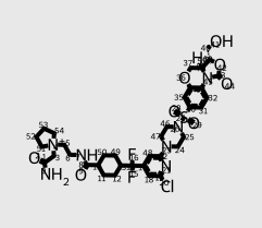 NC(=O)C[N+]1(CCNC(=O)C2CCC(C(F)(F)c3cc(Cl)nc(N4CCN(S(=O)(=O)c5ccc6c(c5)OC[C@@H]5[C@H](CO)OC(=O)N65)CC4)c3)CC2)CCCC1